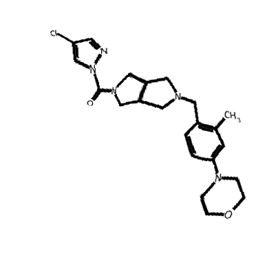 Cc1cc(N2CCOCC2)ccc1CN1CC2CN(C(=O)n3cc(Cl)cn3)CC2C1